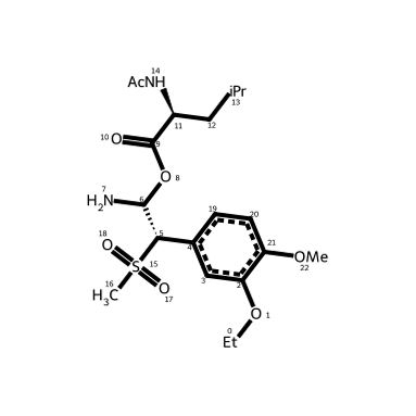 CCOc1cc([C@@H](C(N)OC(=O)[C@H](CC(C)C)NC(C)=O)S(C)(=O)=O)ccc1OC